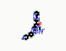 CN(C)CCn1c(=O)c(-c2cnc(-c3ccccn3)nc2)cc2cnc(Nc3ccc(C4CCN(C)CC4)cc3)nc21